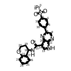 CC(C)S(=O)(=O)c1ccc(-c2cnc3[nH]cc(C(=O)NC4CCOc5ccccc54)c3n2)cc1